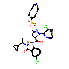 CC(NC(=O)c1cc(Cl)ccc1N(Br)C(=O)C1CC(OS(=O)(=O)c2ccncc2)=NN1c1ncccc1Cl)C1CC1